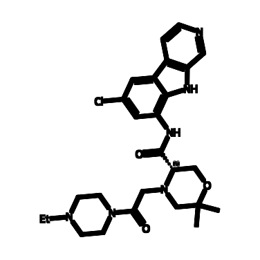 CCN1CCN(C(=O)CN2CC(C)(C)OC[C@H]2C(=O)Nc2cc(Cl)cc3c2[nH]c2cnccc23)CC1